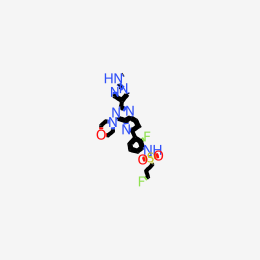 CNc1ncc(-c2nc(N3CCOCC3)c3nc(-c4cccc(NS(=O)(=O)CCCF)c4F)ccc3n2)cn1